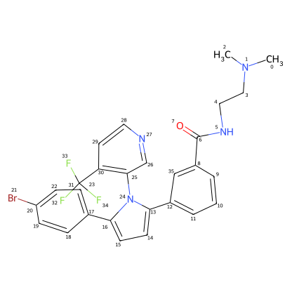 CN(C)CCNC(=O)c1cccc(-c2ccc(-c3ccc(Br)cc3)n2-c2cnccc2C(F)(F)F)c1